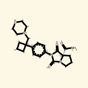 NC(=O)[C@]12[CH]CCN1C(=O)N(c1ccc(C3(CN4CCOCC4)CCC3)cc1)C2=O